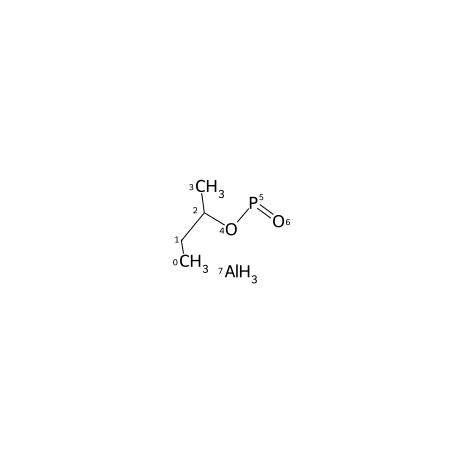 CCC(C)OP=O.[AlH3]